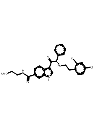 COCCNC(=O)c1ccc2c(C(=O)[C@H](NCCc3ccc(Cl)cc3Cl)c3ccccc3)c[nH]c2c1